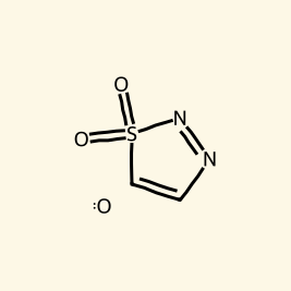 O=S1(=O)C=CN=N1.[O]